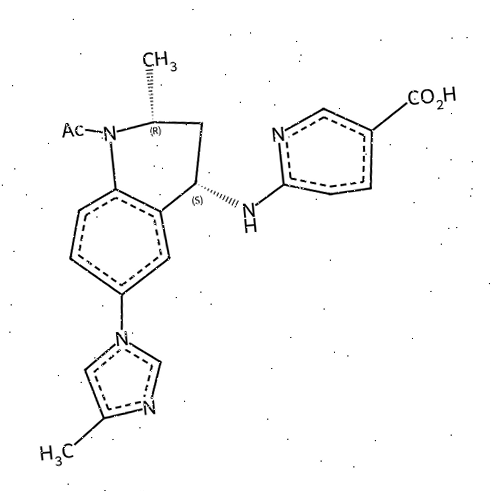 CC(=O)N1c2ccc(-n3cnc(C)c3)cc2[C@@H](Nc2ccc(C(=O)O)cn2)C[C@H]1C